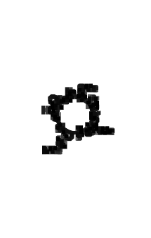 CNC(=O)CC1NC(=O)c2csc(n2)-c2ccc(-c3nc(NC)cs3)nc2-c2csc(n2)-c2csc(n2)C(C(O)c2ccccc2)NC(=O)CNC(=O)c2nc(sc2COC)C(C(C)C)NC(=O)c2nc1sc2C